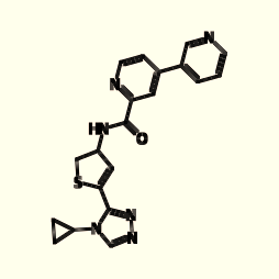 O=C(NC1C=C(c2nncn2C2CC2)SC1)c1cc(-c2cccnc2)ccn1